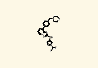 FC(F)n1cc(Nc2nc3c(-c4ccc(CN5CCOCC5)cc4)cccn3n2)cn1